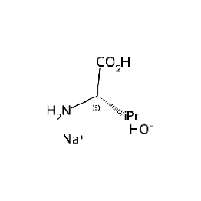 CC(C)[C@H](N)C(=O)O.[Na+].[OH-]